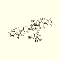 O=C(O)C1CC([N+]2CCCCC2C(=O)O)CCN1C(=O)[C@@H](Cc1cc(Br)c(O)c(Br)c1)OC(=O)N1CCC(N2CCc3ccccc3NC2=O)CC1